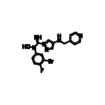 N=C(N(O)c1ccc(F)c(Br)c1)n1cc(NCc2ccncc2)cn1